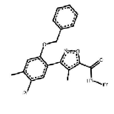 Cc1cc(OCc2ccccc2)c(-c2noc(C(=O)NC(C)C)c2I)cc1C(C)C